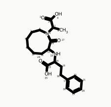 CC(C(=O)O)N1CCCCCCC(NC(CCc2ccccc2)C(=O)O)C1=O